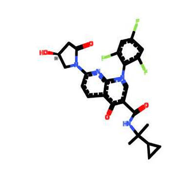 CC(C)(NC(=O)c1cn(-c2c(F)cc(F)cc2F)c2nc(N3C[C@@H](O)CC3=O)ccc2c1=O)C1CC1